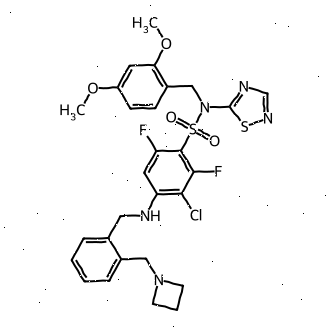 COc1ccc(CN(c2ncns2)S(=O)(=O)c2c(F)cc(NCc3ccccc3CN3CCC3)c(Cl)c2F)c(OC)c1